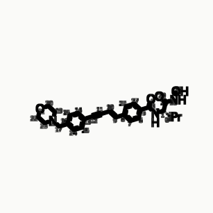 CC(C)[C@H](NC(=O)c1ccc(C=CC#Cc2ccc(CN3CCOCC3)cc2)cc1)C(=O)NO